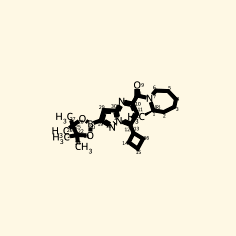 C[C@@H]1CCCCCN1C(=O)c1cc(C2CCC2)n2nc(B3OC(C)(C)C(C)(C)O3)cc2n1